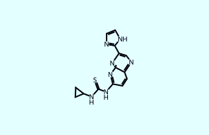 S=C(Nc1ccc2ncc(-c3ncc[nH]3)nc2n1)NC1CC1